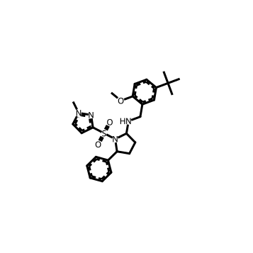 COc1ccc(C(C)(C)C)cc1CNC1CCC(c2ccccc2)N1S(=O)(=O)c1ccn(C)n1